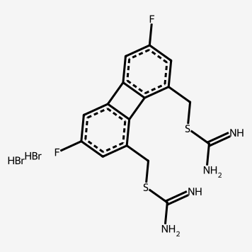 Br.Br.N=C(N)SCc1cc(F)cc2c1-c1c(CSC(=N)N)cc(F)cc1-2